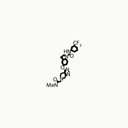 CNC(=O)CN1CCc2c(ncnc2Oc2ccc3c(ccn3C(=O)Nc3cccc(C(F)(F)F)c3)c2)C1